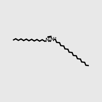 CCCCCCCCCCCCCCCCC[n+]1ccn(CCCCCCCCCCCCC)c1